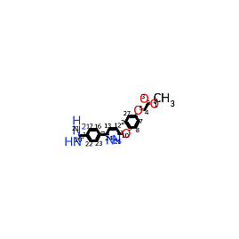 COC(=O)COc1ccc(Oc2ccc(-c3ccc(C(=N)N)cc3)nn2)cc1